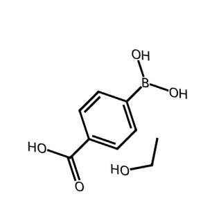 CCO.O=C(O)c1ccc(B(O)O)cc1